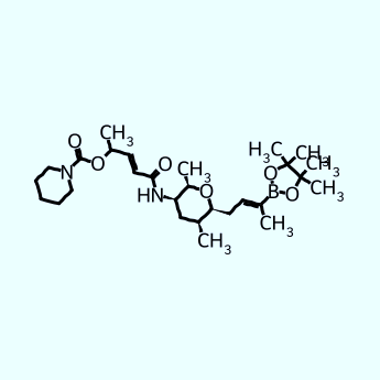 C/C(=C\C[C@@H]1O[C@H](C)[C@H](NC(=O)C=CC(C)OC(=O)N2CCCCC2)C[C@@H]1C)B1OC(C)(C)C(C)(C)O1